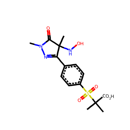 CN1N=C(c2ccc(S(=O)(=O)C(C)(C)C(=O)O)cc2)C(C)(NO)C1=O